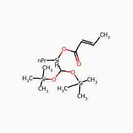 CC=CC(=O)O[SiH](CCC)C(O[Si](C)(C)C)O[Si](C)(C)C